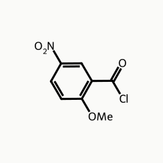 COc1ccc([N+](=O)[O-])cc1C(=O)Cl